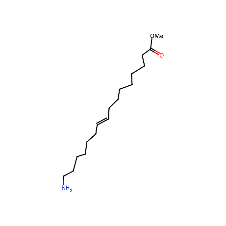 COC(=O)CCCCCCCC=CCCCCCCN